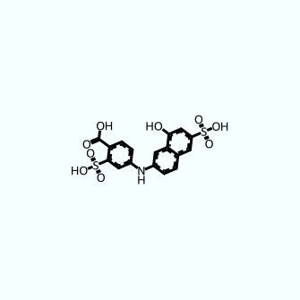 O=C(O)c1ccc(Nc2ccc3cc(S(=O)(=O)O)cc(O)c3c2)cc1S(=O)(=O)O